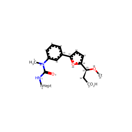 CCCCCCCNC(=O)N(C)c1cccc(-c2ccc([C@H](CC(=O)O)OCC)o2)c1